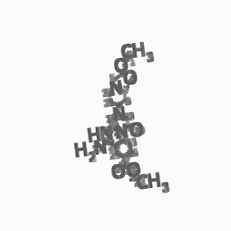 CCOC(=O)CN1CCC(N2CCN(c3ccc(C(=O)OCC)cc3C(=N)N)C(=O)C2)CC1